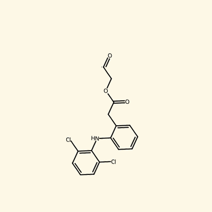 O=[C]COC(=O)Cc1ccccc1Nc1c(Cl)cccc1Cl